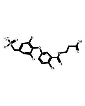 CP(=O)(O)Cc1cc(Br)c(Oc2ccc(O)c(C(=O)NCCC(=O)O)c2)c(Br)c1